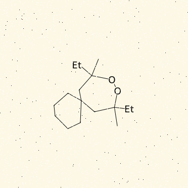 CCC1(C)CC2(CCCCC2)CC(C)(CC)OO1